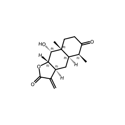 C=C1C(=O)O[C@H]2[C@H]1C[C@@H]1[C@H](C)C(=O)CC[C@@]1(C)[C@H]2O